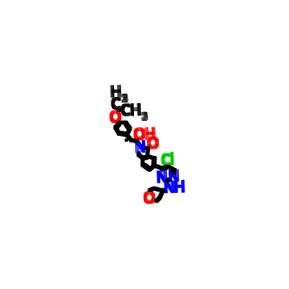 CC(C)Oc1ccc([CH]C(O)N2Cc3ccc(-c4nc(NC5CCOCC5)ncc4Cl)cc3C2=O)cc1